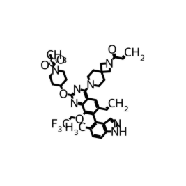 C=CC(=O)N1CC2(CCN(c3nc(OC4CCN(S(C)(=O)=O)CC4)nc4c(OCC(F)(F)F)c(-c5c(C)ccc6[nH]ncc56)c(C=C)cc34)CC2)C1